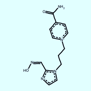 NC(=O)c1cc[n+](CCCn2ccnc2/C=N\O)cc1